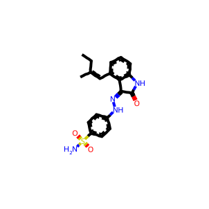 CC/C(C)=C\c1cccc2c1/C(=N/Nc1ccc(S(N)(=O)=O)cc1)C(=O)N2